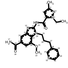 CCn1nc(C)cc1C(=O)Nc1nc2cc(C(N)=O)cc(OC)c2n1CCCc1cccnc1